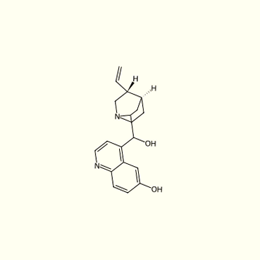 C=C[C@H]1CN2CC[C@H]1CC2C(O)c1ccnc2ccc(O)cc12